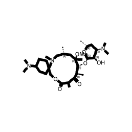 CO[C@]1(C)C[C@@H](C)CN(C)C2(CCC(N(C)C)CC2)COC(=O)C(C)C(=O)[C@H](C)[C@H]1O[C@@H]1O[C@H](C)C[C@H](N(C)C)[C@H]1O